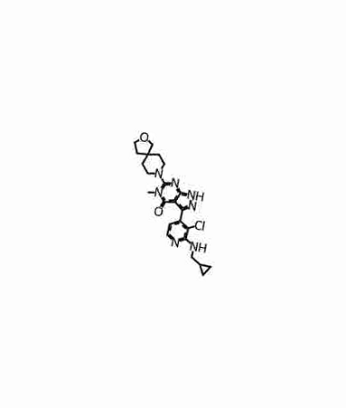 Cn1c(N2CCC3(CCOC3)CC2)nc2[nH]nc(-c3ccnc(NCC4CC4)c3Cl)c2c1=O